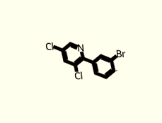 Clc1cnc(-c2cc[c]c(Br)c2)c(Cl)c1